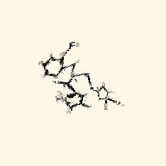 Cc1cc(C(=O)N(CCC2CCS(=O)(=O)C2)Cc2ccccc2F)[nH]n1